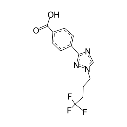 O=C(O)c1ccc(-c2ncn(CCCC(F)(F)F)n2)cc1